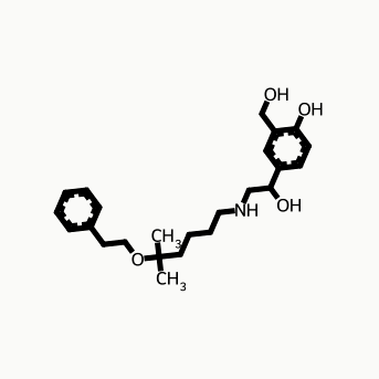 CC(C)(CCCCNCC(O)c1ccc(O)c(CO)c1)OCCc1ccccc1